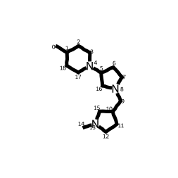 CC1CCN(C2CCN(CC3CCN(C)C3)C2)CC1